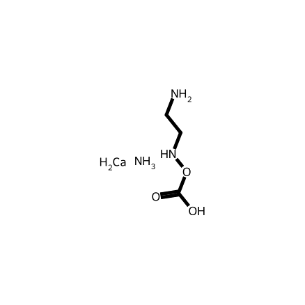 N.NCCNOC(=O)O.[CaH2]